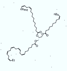 CC/C=C\C/C=C\C/C=C\C/C=C\C/C=C\CCCCCC(=O)OC[C@@H](COC(=O)CCCCCCC/C=C\CCCC)OC(=O)CCCCCCCCC/C=C\C/C=C\CCCCC